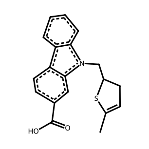 CC1=CCC(Cn2c3ccccc3c3ccc(C(=O)O)cc32)S1